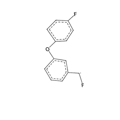 F[CH]c1cccc(Oc2ccc(F)cc2)c1